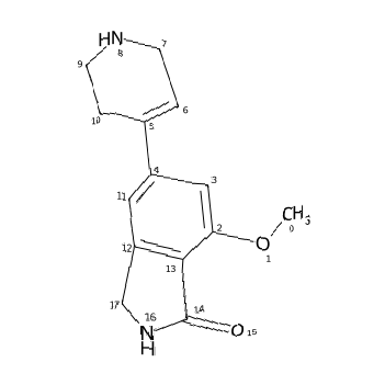 COc1cc(C2=CCNCC2)cc2c1C(=O)NC2